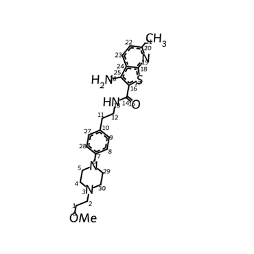 COCCN1CCN(c2ccc(CCNC(=O)c3sc4nc(C)ccc4c3N)cc2)CC1